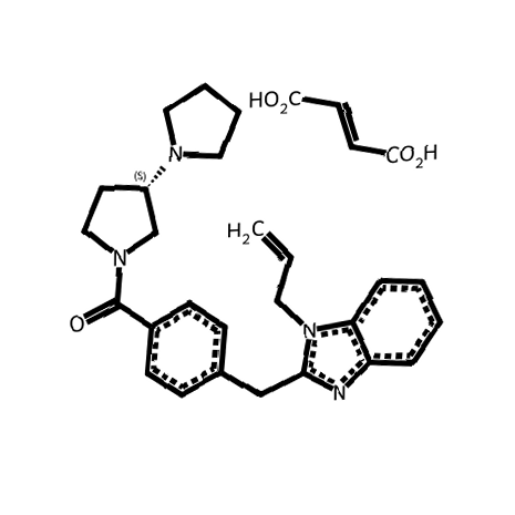 C=CCn1c(Cc2ccc(C(=O)N3CC[C@H](N4CCCC4)C3)cc2)nc2ccccc21.O=C(O)C=CC(=O)O